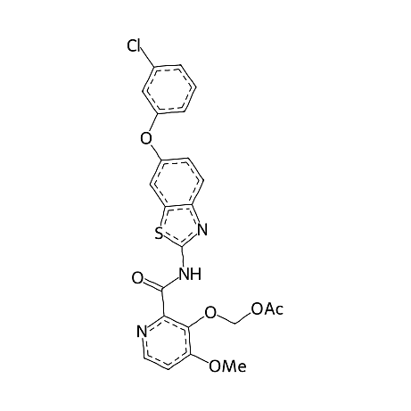 COc1ccnc(C(=O)Nc2nc3ccc(Oc4cccc(Cl)c4)cc3s2)c1OCOC(C)=O